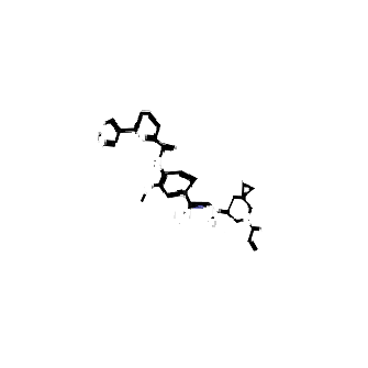 C=CC(=O)N1CC(N(N)/C=C(\N)c2ccc(NC(=O)c3cccc(-c4cnoc4)n3)c(OC)c2)CC2(CC2)C1